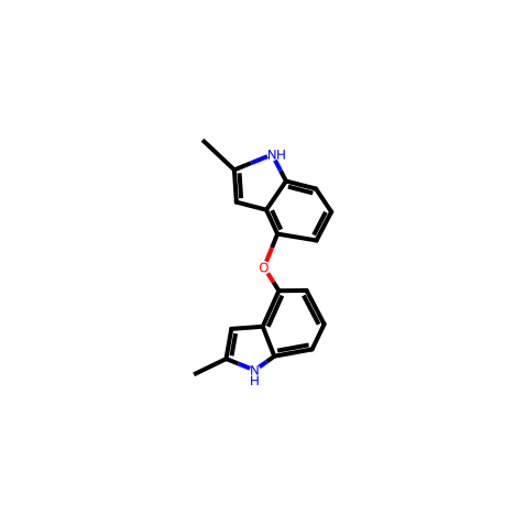 Cc1cc2c(Oc3cccc4[nH]c(C)cc34)cccc2[nH]1